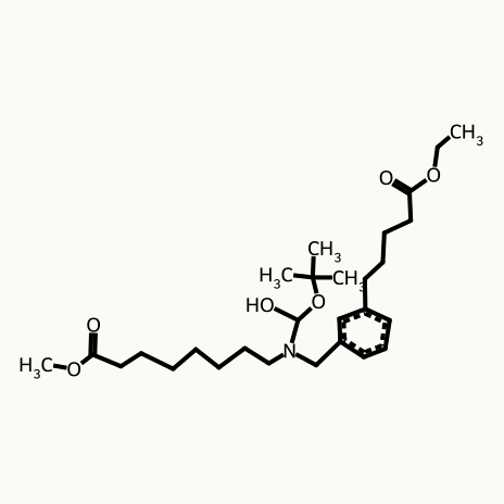 CCOC(=O)CCCCc1cccc(CN(CCCCCCCC(=O)OC)C(O)OC(C)(C)C)c1